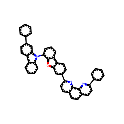 c1ccc(-c2ccc3c4ccccc4n(-c4cccc5c4oc4cc(-c6ccc7ccc8ccc(-c9ccccc9)nc8c7n6)ccc45)c3c2)cc1